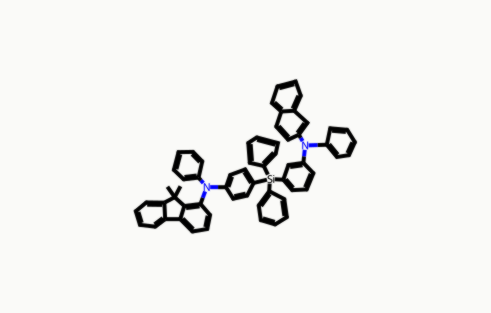 CC1(C)c2ccccc2-c2cccc(N(c3ccccc3)c3ccc([Si](c4ccccc4)(c4ccccc4)c4cccc(N(c5ccccc5)c5ccc6ccccc6c5)c4)cc3)c21